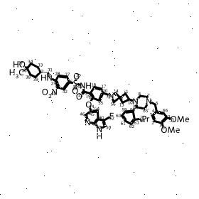 COc1ccc(CN2CCN(C3CC4(C3)CN(c3ccc(C(=O)NS(=O)(=O)c5ccc(NC[C@H]6CC[C@](C)(O)CC6)c([N+](=O)[O-])c5)c(Oc5cnc6[nH]cc(F)c6c5)c3)C4)[C@@H](c3ccccc3C(C)C)C2)cc1OC